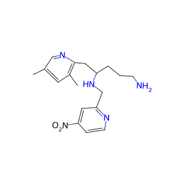 Cc1cnc(CC(CCCN)NCc2cc([N+](=O)[O-])ccn2)c(C)c1